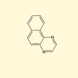 [c]1cccc2c1ccc1nccnc12